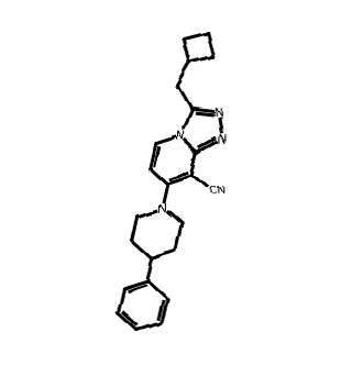 N#Cc1c(N2CCC(c3ccccc3)CC2)ccn2c(CC3CCC3)nnc12